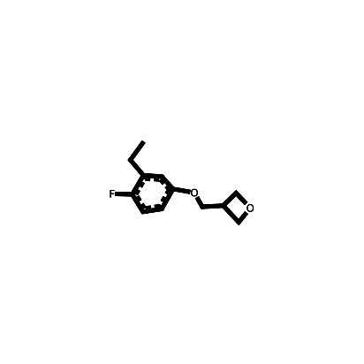 CCc1cc(OCC2COC2)ccc1F